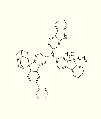 CC1(C)c2ccccc2-c2ccc(N(c3ccc4c(c3)-c3cc(-c5ccccc5)ccc3C43C4CC5CC(C4)CC3C5)c3ccc4c(c3)sc3ccccc34)cc21